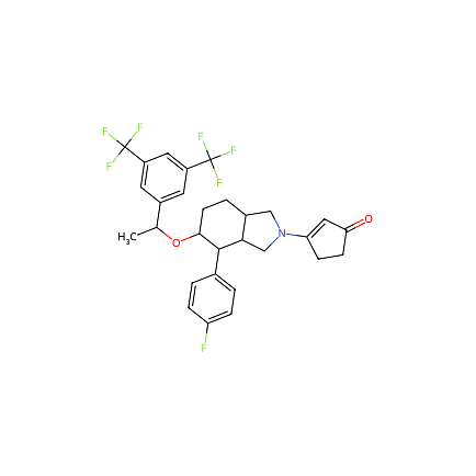 CC(OC1CCC2CN(C3=CC(=O)CC3)CC2C1c1ccc(F)cc1)c1cc(C(F)(F)F)cc(C(F)(F)F)c1